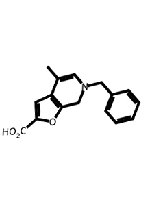 CC1=CN(Cc2ccccc2)Cc2oc(C(=O)O)cc21